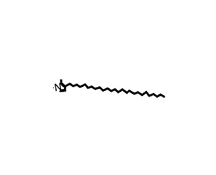 CCCCCCCCCCCCCCCCCCCCCCCCCCC1=C(C)[N]C=C1